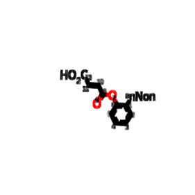 CCCCCCCCCc1ccccc1OC(=O)C=CC(=O)O